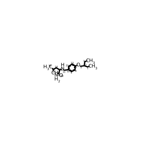 CCC(CC)COc1ccc(CNC(CC(C)C)C(N)=O)cc1